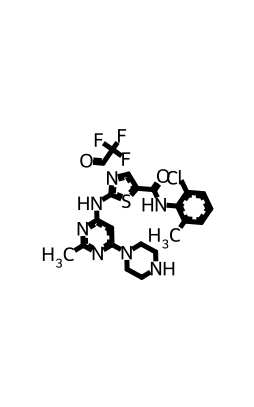 Cc1nc(Nc2ncc(C(=O)Nc3c(C)cccc3Cl)s2)cc(N2CCNCC2)n1.O=CC(F)(F)F